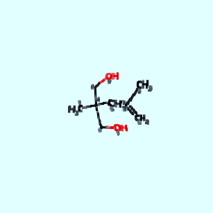 C=CC.CC(C)(CO)CO